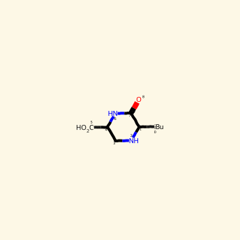 CCC(C)C1NCC(C(=O)O)NC1=O